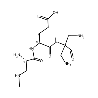 CNC[C@H](N)C(=O)N[C@@H](CCC(=O)O)C(=O)NC(C=O)(CN)CN